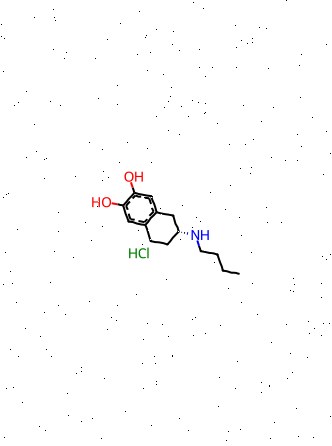 CCCCN[C@@H]1CCc2cc(O)c(O)cc2C1.Cl